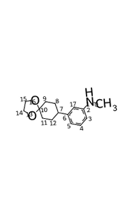 CNc1cccc(C2CCC3(CC2)OCCO3)c1